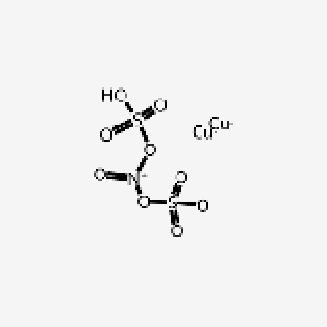 O=[N+](OS(=O)(=O)[O-])OS(=O)(=O)O.[Cu].[Cu]